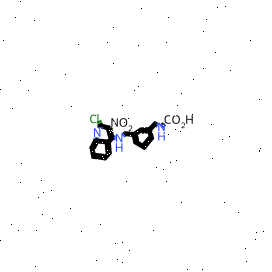 O=C(O)NCc1cccc(CNc2c([N+](=O)[O-])c(Cl)nc3ccccc23)c1